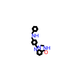 O=C1NCCn2c(-c3ccc(CNCc4ccccc4)cc3)nc3cccc1c32